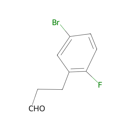 O=CCCc1cc(Br)ccc1F